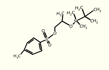 Cc1ccc(S(=O)(=O)OCC(C)O[Si](C)(C)C(C)(C)C)cc1